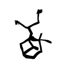 C=C1C2=C=CC(C)(C)C1(C(CC(C)=O)C(C)C)C2